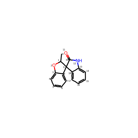 CC1Oc2ccccc2C12C(=O)Nc1ccccc12